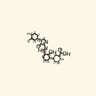 Cc1ccc(N2C=NC(=NNc3cccc(C4CCCC(C(=O)O)C4)c3O)C2=O)cc1C